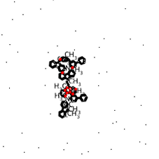 Cc1cc2ccc1-c1cc(-c3ccccc3)cc(C)c1N(c1cccc3c1-c1ccccc1C3(C)CCC1(C)c3ccccc3-c3c(N(c4ccc5c(c4)C(C)(C)c4ccccc4-5)c4c(C)cc(-c5ccccc5)cc4-c4c(C)cccc4C)cccc31)c1ccc3c(c1)C2(C)c1ccccc1-3